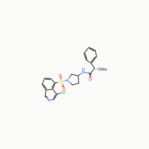 CO[C@H](C(=O)NC1CCN(S(=O)(=O)c2cccc3cncc(Cl)c23)C1)c1ccccc1